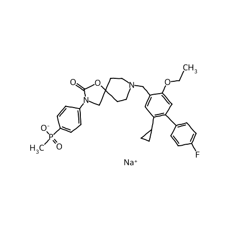 CCOc1cc(-c2ccc(F)cc2)c(C2CC2)cc1CN1CCC2(CC1)CN(c1ccc(P(C)(=O)[O-])cc1)C(=O)O2.[Na+]